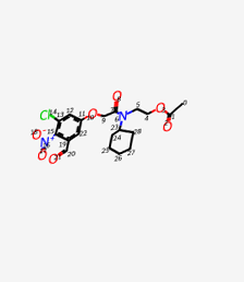 CC(=O)OCCN(C(=O)COc1cc(Cl)c([N+](=O)[O-])c(C=O)c1)C1CCCCC1